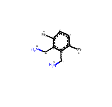 CCc1ccc(CC)c(CN)c1CN